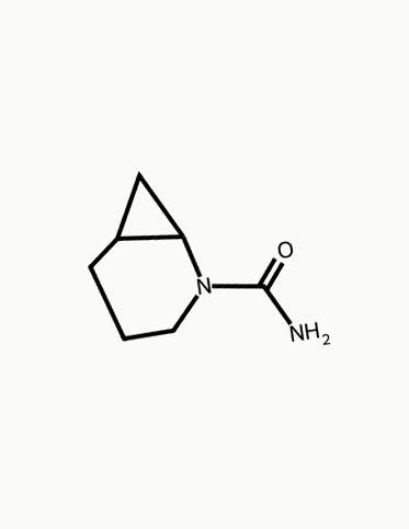 NC(=O)N1CCCC2CC21